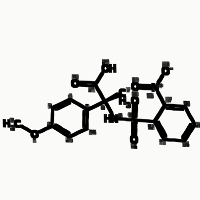 COc1ccc([C@@](C)(NS(=O)(=O)c2ccccc2[N+](=O)[O-])C(=O)O)cc1